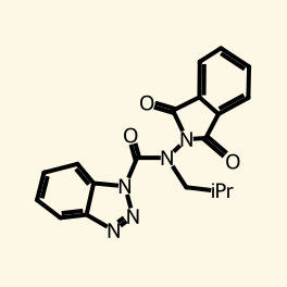 CC(C)CN(C(=O)n1nnc2ccccc21)N1C(=O)c2ccccc2C1=O